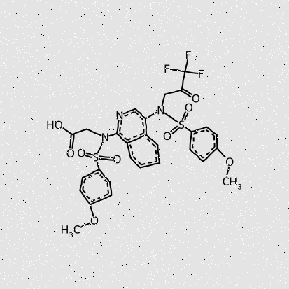 COc1ccc(S(=O)(=O)N(CC(=O)C(F)(F)F)c2cnc(N(CC(=O)O)S(=O)(=O)c3ccc(OC)cc3)c3ccccc23)cc1